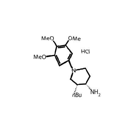 CCCC[C@@H]1CN(c2cc(OC)c(OC)c(OC)c2)CC[C@@H]1N.Cl